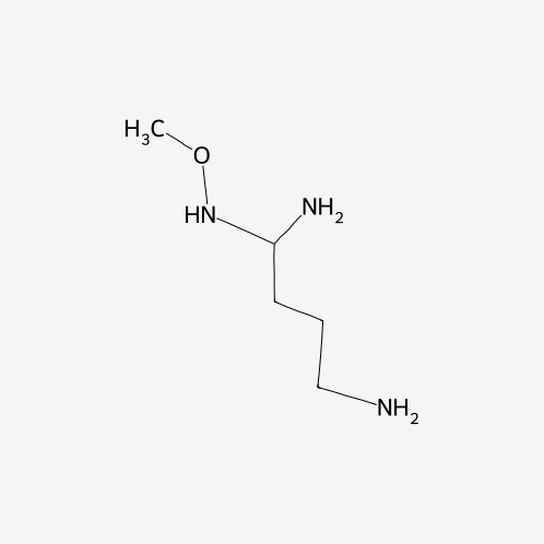 CONC(N)CCCN